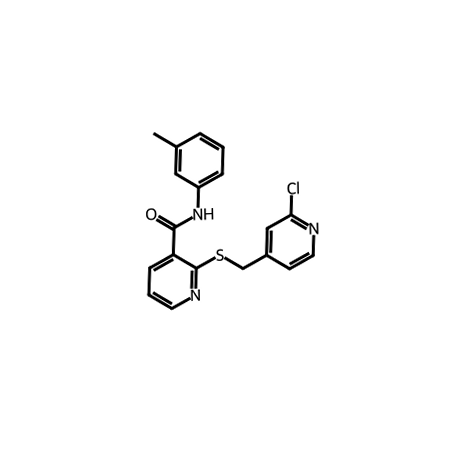 Cc1cccc(NC(=O)c2cccnc2SCc2ccnc(Cl)c2)c1